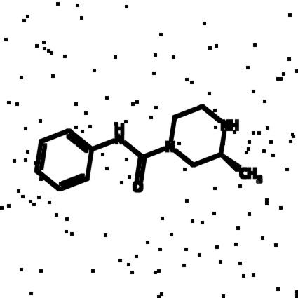 C[C@H]1CN(C(=O)Nc2ccccc2)CCN1